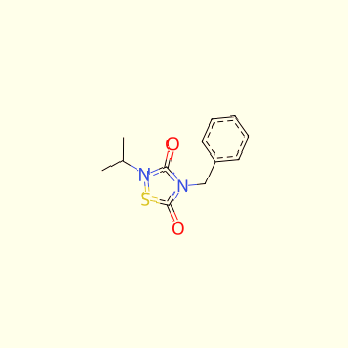 CC(C)n1sc(=O)n(Cc2ccccc2)c1=O